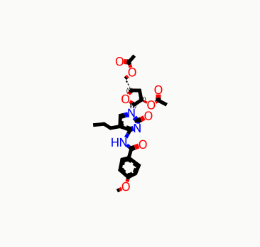 CCCc1cn([C@@H]2O[C@H](COC(C)=O)C[C@H]2OC(C)=O)c(=O)nc1NC(=O)c1ccc(OC)cc1